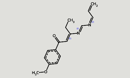 C=C\C=N/C=N/C(=C/C(=O)c1ccc(OC)cc1)CC